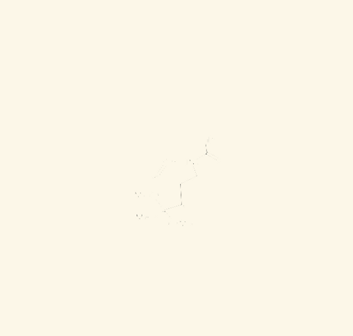 CCCC(=O)NCCC[Si](OC)(OC)OC.[Se]=[Se]